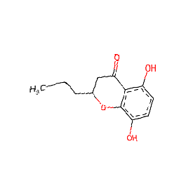 CCCC1CC(=O)c2c(O)ccc(O)c2O1